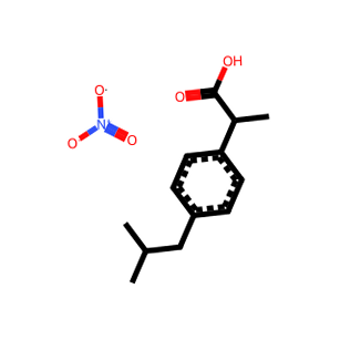 CC(C)Cc1ccc(C(C)C(=O)O)cc1.[O][N+](=O)[O-]